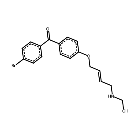 O=C(c1ccc(Br)cc1)c1ccc(OC/C=C/CNCO)cc1